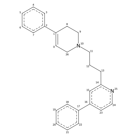 C1=C(c2ccccc2)CCN(CCCc2cc(-c3ccccc3)ccn2)C1